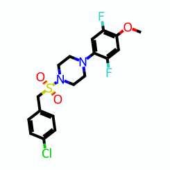 COc1cc(F)c(N2CCN(S(=O)(=O)Cc3ccc(Cl)cc3)CC2)cc1F